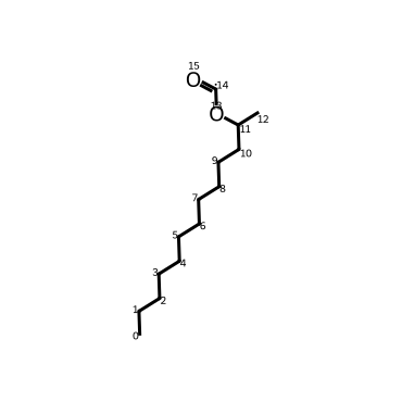 CCCCCCCCCCCC(C)O[C]=O